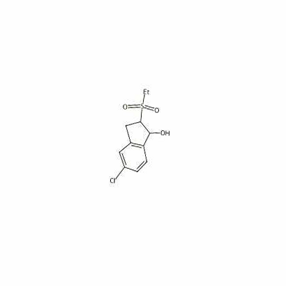 CCS(=O)(=O)C1Cc2cc(Cl)ccc2C1O